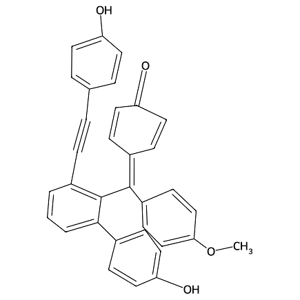 COc1ccc(C(=C2C=CC(=O)C=C2)c2c(C#Cc3ccc(O)cc3)cccc2-c2ccc(O)cc2)cc1